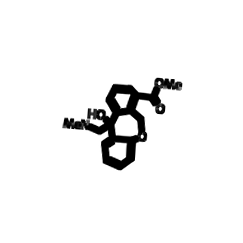 CNCC1(O)c2ccccc2OCc2c(C(=O)OC)cccc21